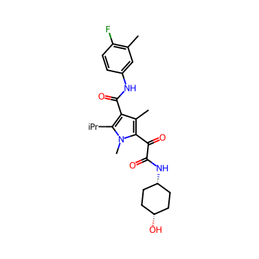 Cc1cc(NC(=O)c2c(C)c(C(=O)C(=O)N[C@H]3CC[C@@H](O)CC3)n(C)c2C(C)C)ccc1F